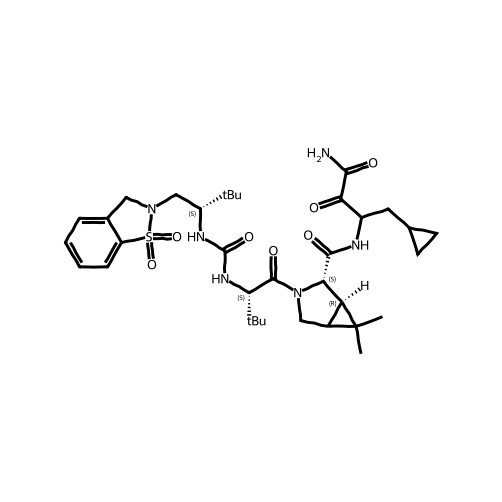 CC(C)(C)[C@H](NC(=O)N[C@H](CN1Cc2ccccc2S1(=O)=O)C(C)(C)C)C(=O)N1CC2[C@@H]([C@H]1C(=O)NC(CC1CC1)C(=O)C(N)=O)C2(C)C